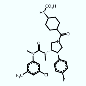 CN(C(=O)N(C)[C@@H]1CN(C(=O)C2CCC(NC(=O)O)CC2)C[C@H]1c1ccc(F)cc1)c1cc(Cl)cc(C(F)(F)F)c1